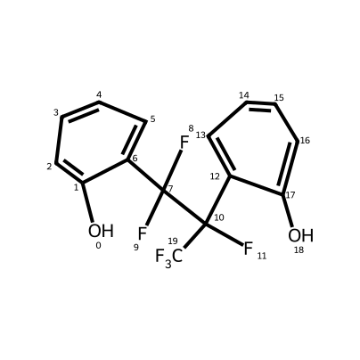 Oc1ccccc1C(F)(F)C(F)(c1ccccc1O)C(F)(F)F